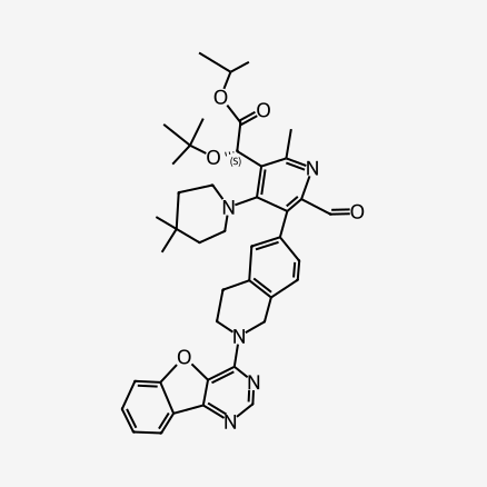 Cc1nc(C=O)c(-c2ccc3c(c2)CCN(c2ncnc4c2oc2ccccc24)C3)c(N2CCC(C)(C)CC2)c1[C@H](OC(C)(C)C)C(=O)OC(C)C